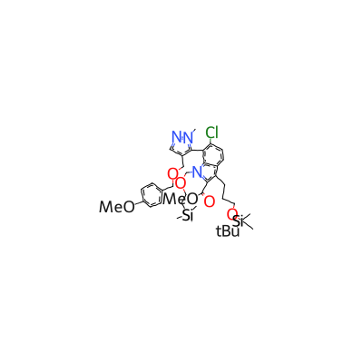 COC(=O)c1c(CCCO[Si](C)(C)C(C)(C)C)c2ccc(Cl)c(-c3c(COCc4ccc(OC)cc4)cnn3C)c2n1COCC[Si](C)(C)C